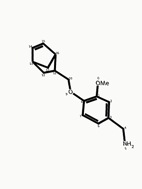 COc1cc(CN)ccc1OCC1CC2C=CC1C2